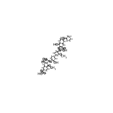 COc1cc(-c2ccc(N=Nc3c(S(=O)(=O)O)cc4cc(S(=O)(=O)O)ccc4c3OC)c(O)c2)ccc1N=Nc1c(S(=O)(=O)O)cc2cc(Nc3ccccc3)ccc2c1O